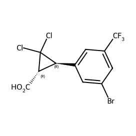 O=C(O)[C@H]1[C@H](c2cc(Br)cc(C(F)(F)F)c2)C1(Cl)Cl